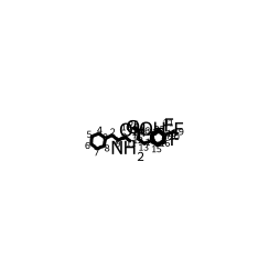 N[C@@H](CC1CCCCC1)[C@@H](O)C[C@@H](Cc1ccc(C(F)(F)F)cc1)C(=O)O